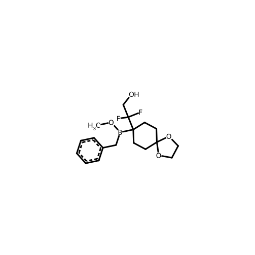 COB(Cc1ccccc1)C1(C(F)(F)CO)CCC2(CC1)OCCO2